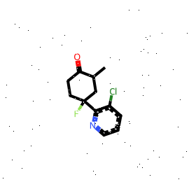 CC1CC(F)(c2ncccc2Cl)CCC1=O